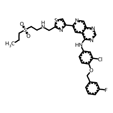 CCCS(=O)(=O)CCNCc1nc(-c2cc3c(Nc4ccc(OCc5cccc(F)c5)c(Cl)c4)ncnc3cn2)cs1